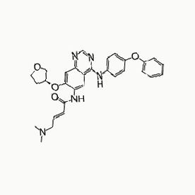 CN(C)CC=CC(=O)Nc1cc2c(Nc3ccc(Oc4ccccc4)cc3)ncnc2cc1O[C@H]1CCOC1